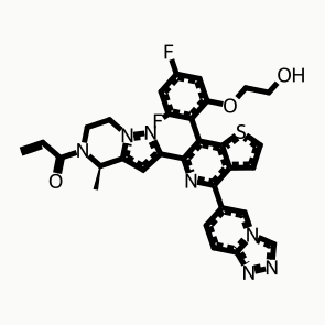 C=CC(=O)N1CCn2nc(-c3nc(-c4ccc5nncn5c4)c4ccsc4c3-c3c(F)cc(F)cc3OCCO)cc2[C@H]1C